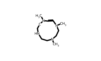 CN1/C=C\N(C)CCN(C)CCNCC1